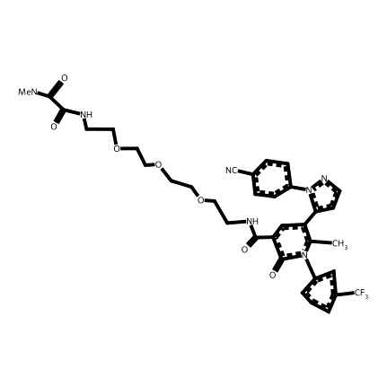 CNC(=O)C(=O)NCCOCCOCCOCCNC(=O)c1cc(-c2ccnn2-c2ccc(C#N)cc2)c(C)n(-c2cccc(C(F)(F)F)c2)c1=O